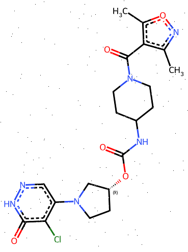 Cc1noc(C)c1C(=O)N1CCC(NC(=O)O[C@@H]2CCN(c3cn[nH]c(=O)c3Cl)C2)CC1